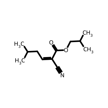 CC(C)CC=C(C#N)C(=O)OCC(C)C